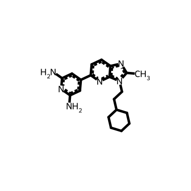 Cc1nc2ccc(-c3cc(N)nc(N)c3)nc2n1CCC1CCCCC1